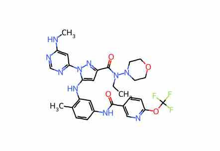 CCN(C(=O)c1cc(Nc2cc(NC(=O)c3ccc(OC(F)(F)F)nc3)ccc2C)n(-c2cc(NC)ncn2)n1)N1CCOCC1